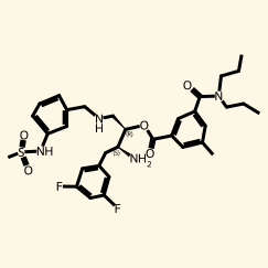 CCCN(CCC)C(=O)c1cc(C)cc(C(=O)O[C@H](CNCc2cccc(NS(C)(=O)=O)c2)[C@@H](N)Cc2cc(F)cc(F)c2)c1